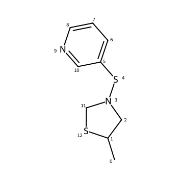 CC1CN(Sc2cccnc2)CS1